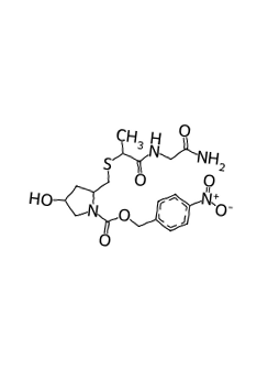 CC(SCC1CC(O)CN1C(=O)OCc1ccc([N+](=O)[O-])cc1)C(=O)NCC(N)=O